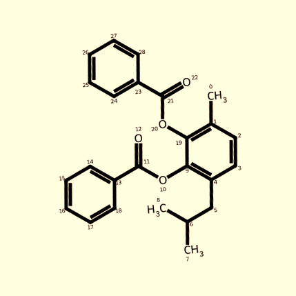 Cc1ccc(CC(C)C)c(OC(=O)c2ccccc2)c1OC(=O)c1ccccc1